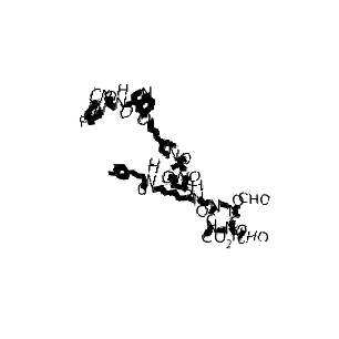 Cc1ccc(CCCC(=O)NCCCCCC(CNC(=O)CN2CCN(COC=O)CCN(COC=O)CCN(CC(=O)O)CC2)SC2CC(=O)N(CC(C)C(=O)N3CCC(CCCCOc4ccc5nccc(C(=O)NCC(=O)N6CC(C)(F)C[C@@H]6C#N)c5c4)CC3)C2=O)cc1